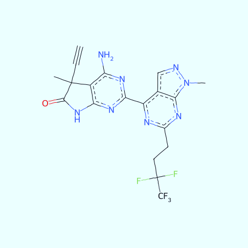 C#CC1(C)C(=O)Nc2nc(-c3nc(CCC(F)(F)C(F)(F)F)nc4c3cnn4C)nc(N)c21